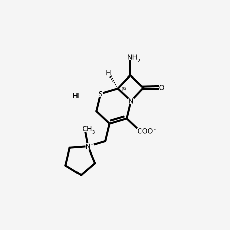 C[N+]1(CC2=C(C(=O)[O-])N3C(=O)C(N)[C@@H]3SC2)CCCC1.I